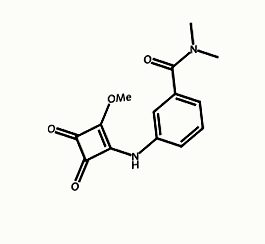 COc1c(Nc2cccc(C(=O)N(C)C)c2)c(=O)c1=O